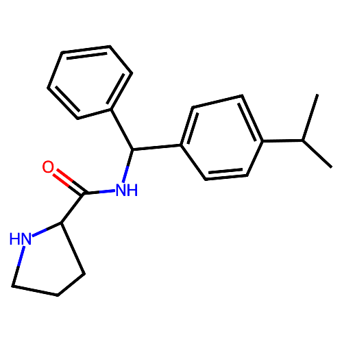 CC(C)c1ccc(C(NC(=O)C2CCCN2)c2ccccc2)cc1